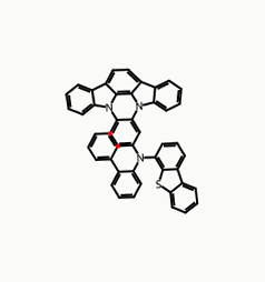 c1ccc(-c2ccccc2N(c2ccc3c(c2)n2c4ccccc4c4ccc5c6ccccc6n3c5c42)c2cccc3c2sc2ccccc23)cc1